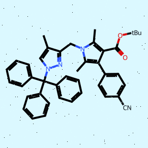 Cc1cn(C(c2ccccc2)(c2ccccc2)c2ccccc2)nc1Cn1c(C)c(C(=O)OC(C)(C)C)c(-c2ccc(C#N)cc2)c1C